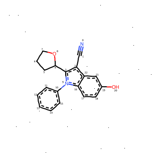 N#Cc1c(C2CCCO2)n(-c2ccccc2)c2ccc(O)cc12